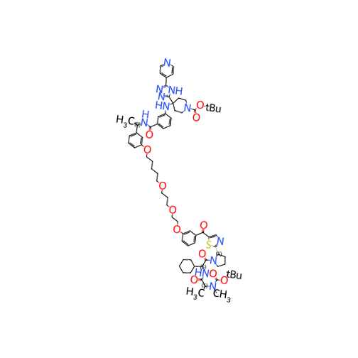 C[C@@H](NC(=O)c1cccc(NC2(c3nnc(-c4ccncc4)[nH]3)CCN(C(=O)OC(C)(C)C)CC2)c1)c1cccc(OCCCCCOCCCOCCOc2cccc(C(=O)c3cnc([C@@H]4CCCN4C(=O)[C@@H](NC(=O)[C@H](C)N(C)C(=O)OC(C)(C)C)C4CCCCC4)s3)c2)c1